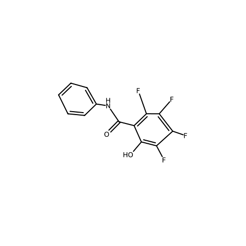 O=C(Nc1ccccc1)c1c(O)c(F)c(F)c(F)c1F